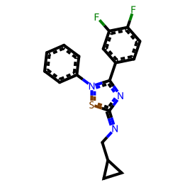 Fc1ccc(-c2nc(=NCC3CC3)sn2-c2ccccc2)cc1F